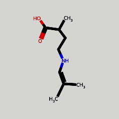 CC(C)=CNCCC(C)C(=O)O